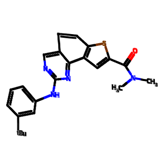 CN(C)C(=O)c1cc2c(ccc3cnc(Nc4cccc(C(C)(C)C)c4)nc32)s1